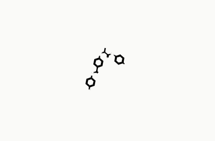 CC(Oc1ccc(C(=O)Nc2ccc(Cl)cc2)cc1)C(=O)Nc1ccc(Cl)cc1